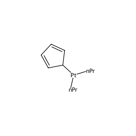 CC[CH2][Pt]([CH2]CC)[CH]1C=CC=C1